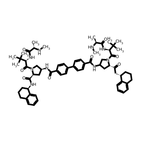 CN[C@@H](C)C(=O)N[C@H](C(=O)N1CC(NC(=O)c2ccc(-c3ccc(C(=O)N[C@H]4C[C@@H](C(=O)N[C@@H]5CCCc6ccccc65)N(C(=O)[C@@H](NC(=O)[C@H](C)NC)C(C)(C)C)C4)cc3)cc2)C[C@H]1C(=O)C[C@@H]1CCCc2ccccc21)C(C)(C)C